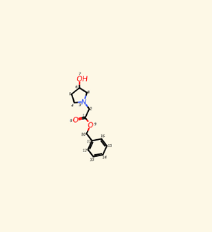 O=C(CN1CCC(O)C1)OCc1ccccc1